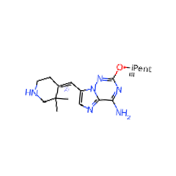 CCC[C@H](C)Oc1nc(N)c2ncc(/C=C3/CCNCC3(C)C)n2n1